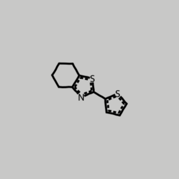 c1csc(-c2nc3c(s2)CCCC3)c1